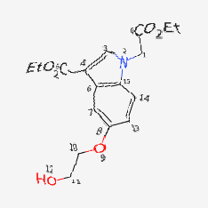 CCOC(=O)Cn1cc(C(=O)OCC)c2cc(OCCO)ccc21